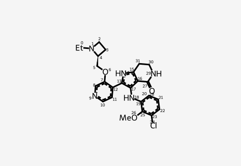 CCN1CC[C@H]1COc1cnccc1-c1[nH]c2c(c1Nc1cccc(Cl)c1OC)C(=O)NCC2